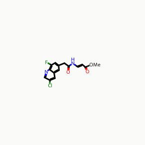 COC(=O)C=CNC(=O)Cc1cc(F)c2ncc(Cl)cc2c1